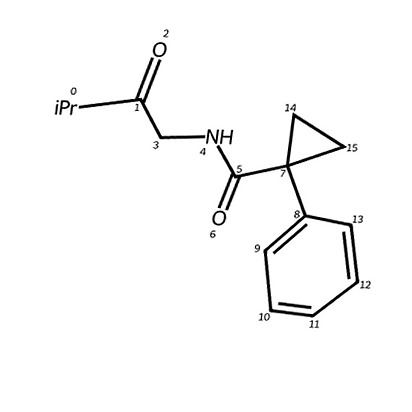 CC(C)C(=O)CNC(=O)C1(c2ccccc2)CC1